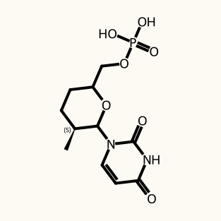 C[C@H]1CCC(COP(=O)(O)O)OC1n1ccc(=O)[nH]c1=O